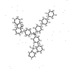 CC1(C)c2ccccc2-c2cccc(-c3ccc(N(c4ccc(-c5ccc(-c6ccccc6)cc5)cc4)c4ccc(-c5cccc6c5oc5ccccc56)cc4)cc3)c21